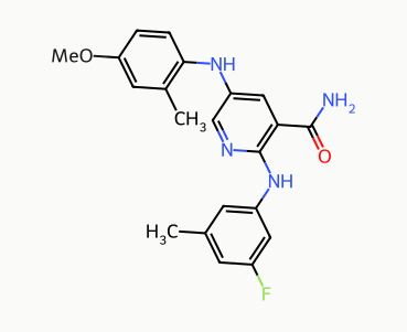 COc1ccc(Nc2cnc(Nc3cc(C)cc(F)c3)c(C(N)=O)c2)c(C)c1